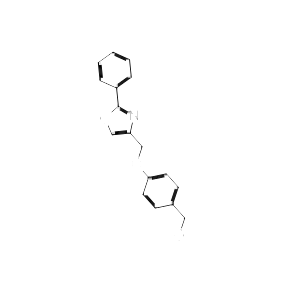 OCc1ccc(OCc2coc(-c3ccccc3)n2)cc1